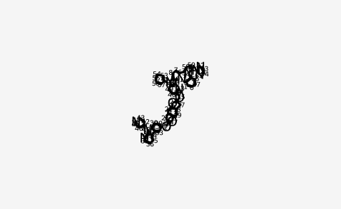 c1ccc(-n2c(-c3ccc4c(n3)c3nc(OC5Cc6cc7c(cc6O5)CC(Oc5ccc6c(c5)c5cccnc5n6-c5ccncc5)O7)ccc3n4-c3ccccc3)ccc2-n2nccn2)cc1